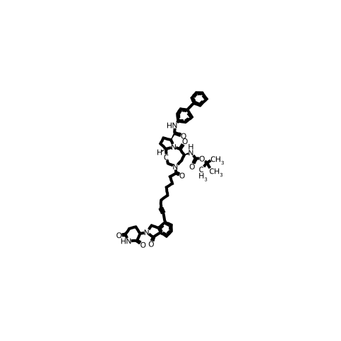 CC(C)(C)OC(=O)N[C@H]1CN(C(=O)CCCCCC#Cc2cccc3c2CN(C2CCC(=O)NC2=O)C3=O)CC[C@H]2CC[C@@H](C(=O)Nc3ccc(-c4ccccc4)cc3)N2C1=O